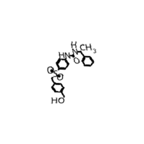 CC(NC(=O)Nc1ccc(S(=O)(=O)Cc2ccc(CO)cc2)cc1)c1ccccc1